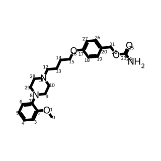 COc1ccccc1N1CCN(CCCCOc2ccc(COC(N)=O)cc2)CC1